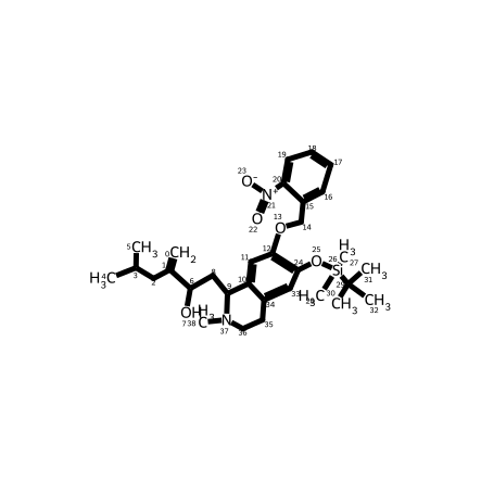 C=C(CC(C)C)C(O)CC1c2cc(OCc3ccccc3[N+](=O)[O-])c(O[Si](C)(C)C(C)(C)C)cc2CCN1C